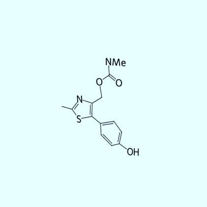 CNC(=O)OCc1nc(C)sc1-c1ccc(O)cc1